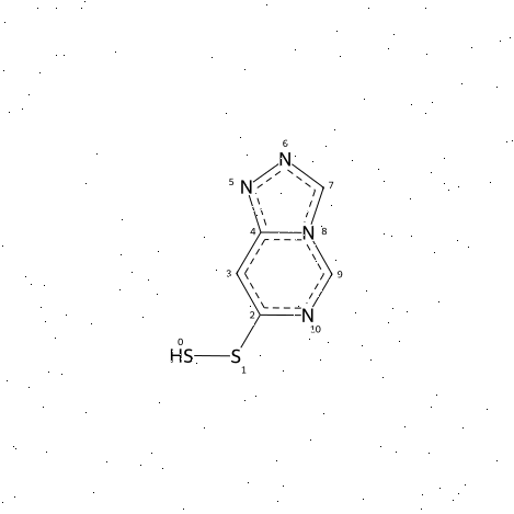 SSc1cc2nncn2cn1